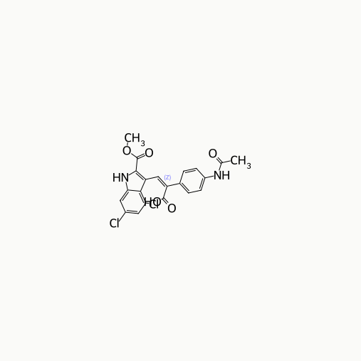 COC(=O)c1[nH]c2cc(Cl)cc(Cl)c2c1/C=C(\C(=O)O)c1ccc(NC(C)=O)cc1